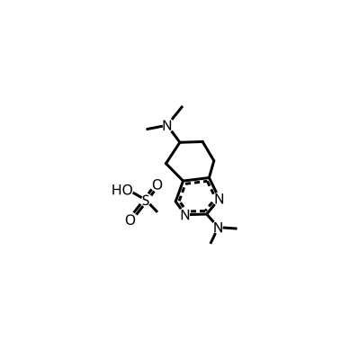 CN(C)c1ncc2c(n1)CCC(N(C)C)C2.CS(=O)(=O)O